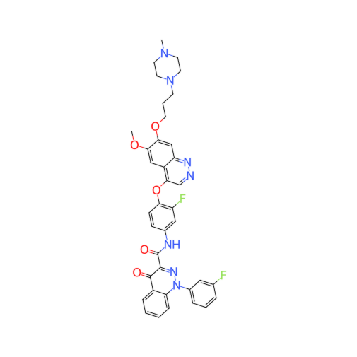 COc1cc2c(Oc3ccc(NC(=O)c4nn(-c5cccc(F)c5)c5ccccc5c4=O)cc3F)cnnc2cc1OCCCN1CCN(C)CC1